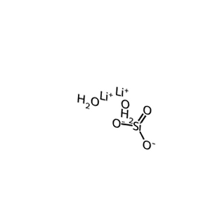 O.O.O=[Si]([O-])[O-].[Li+].[Li+]